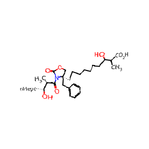 CCCCCCC[C@@H](O)[C@H](C)C(=O)N1C(=O)OC[C@@]1(CCCCCCCC(O)C(C)C(=O)O)Cc1ccccc1